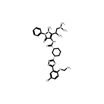 CCOc1ccc(Cl)cc1-c1nnc([C@H]2CCC[C@@H](C(=O)Nc3c(C(C)CN(C)C)n(C)n(-c4ccccc4)c3=O)C2)o1